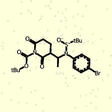 CC(C1CCC(=O)N(C(=O)OC(C)(C)C)C1=O)N(c1ccc(Br)cc1)[S+]([O-])C(C)(C)C